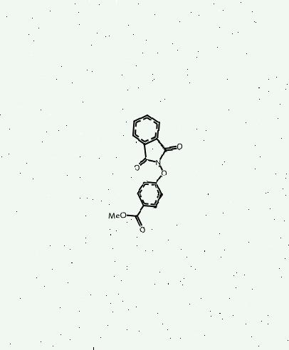 COC(=O)c1ccc(ON2C(=O)c3ccccc3C2=O)cc1